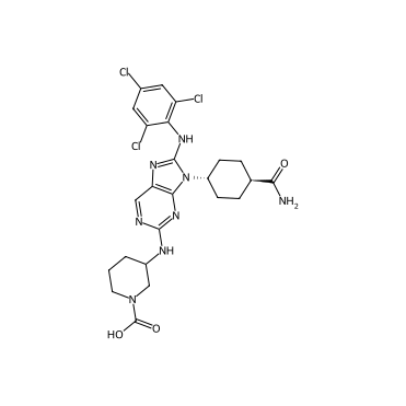 NC(=O)[C@H]1CC[C@H](n2c(Nc3c(Cl)cc(Cl)cc3Cl)nc3cnc(NC4CCCN(C(=O)O)C4)nc32)CC1